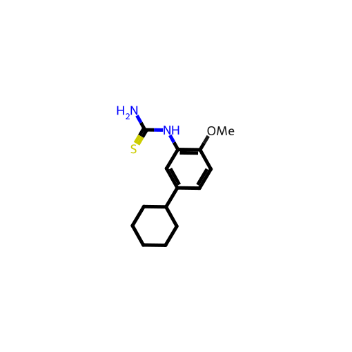 COc1ccc(C2CCCCC2)cc1NC(N)=S